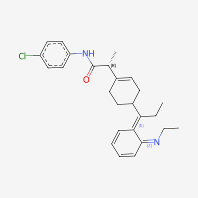 CC/N=C1/C=CC=C/C1=C(/CC)C1CC=C([C@@H](C)C(=O)Nc2ccc(Cl)cc2)CC1